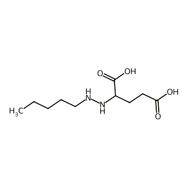 CCCCCNNC(CCC(=O)O)C(=O)O